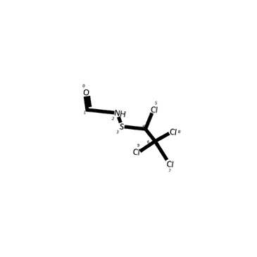 O=CNSC(Cl)C(Cl)(Cl)Cl